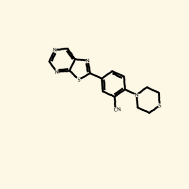 N#Cc1cc(-c2nc3cncnc3s2)ccc1N1CCSCC1